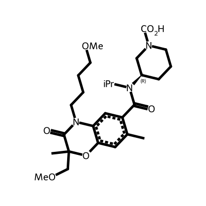 COCCCCN1C(=O)C(C)(COC)Oc2cc(C)c(C(=O)N(C(C)C)[C@@H]3CCCN(C(=O)O)C3)cc21